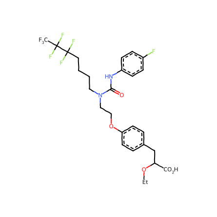 CCOC(Cc1ccc(OCCN(CCCCC(F)(F)C(F)(F)C(F)(F)F)C(=O)Nc2ccc(F)cc2)cc1)C(=O)O